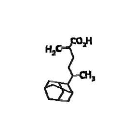 C=C(CCC(C)C1C2CC3CC(C2)CC1C3)C(=O)O